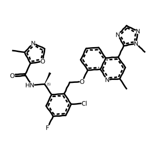 Cc1cc(-c2ncnn2C)c2cccc(OCc3c(Cl)cc(F)cc3[C@H](C)NC(=O)c3ocnc3C)c2n1